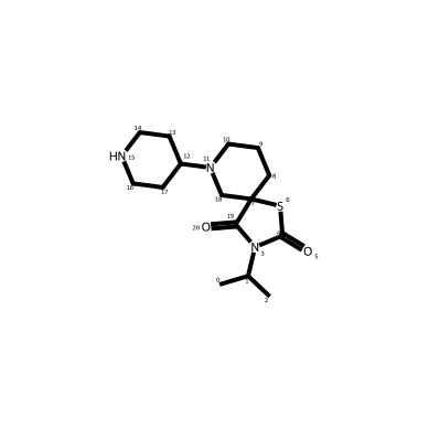 CC(C)N1C(=O)SC2(CCCN(C3CCNCC3)C2)C1=O